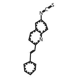 S=C=Nc1ccc2nc(/C=C/c3ccccc3)ccc2c1